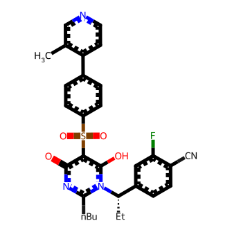 CCCCc1nc(=O)c(S(=O)(=O)c2ccc(-c3ccncc3C)cc2)c(O)n1[C@@H](CC)c1ccc(C#N)c(F)c1